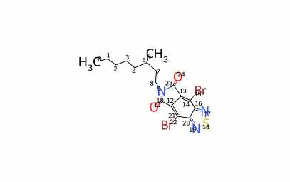 CCCCCC(C)CCN1C(=O)c2c(c(Br)c3nsnc3c2Br)C1=O